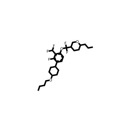 CCCCOC1CCC(c2ccc(OC(F)(F)C3CCC(CCC)OC3)c(C(F)F)c2F)CC1